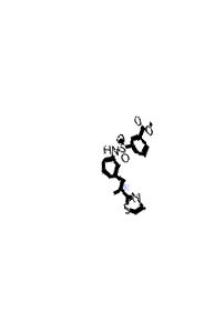 COC(=O)c1cccc(S(=O)(=O)Nc2cccc(/C=C(\C)C3=NCCS3)c2)c1